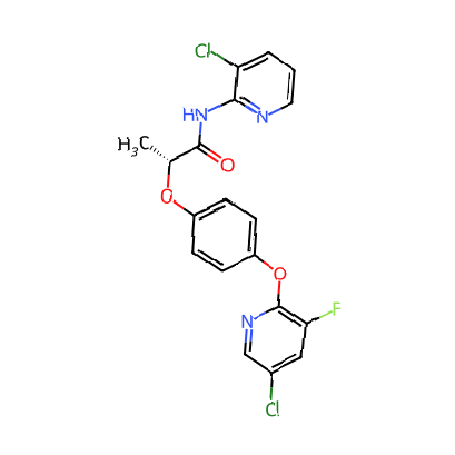 C[C@@H](Oc1ccc(Oc2ncc(Cl)cc2F)cc1)C(=O)Nc1ncccc1Cl